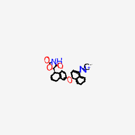 [C-]#[N+]c1ccc(Oc2ccc3c(c2)CCC[C@H]3C2OC(=O)NC2=O)c2ccccc12